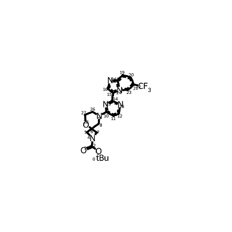 CC(C)(C)OC(=O)N1CC2(C1)CN(c1ccnc(-c3cnc4ccc(C(F)(F)F)cn34)n1)CCO2